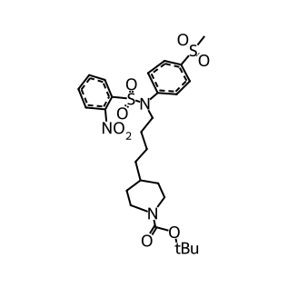 CC(C)(C)OC(=O)N1CCC(CCCCN(c2ccc(S(C)(=O)=O)cc2)S(=O)(=O)c2ccccc2[N+](=O)[O-])CC1